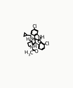 CC(=O)N1CC[C@H]2[C@@H]1[C@H](c1cccc(Cl)c1F)[C@]1(C(=O)Nc3cc(Cl)ccc31)N2CC1CC1